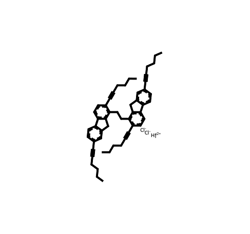 CCCCC#Cc1ccc2c(c1)Cc1c-2ccc(C#CCCCC)c1CCc1c(C#CCCCC)ccc2c1Cc1cc(C#CCCCC)ccc1-2.[Cl-].[Cl-].[Hf+2]